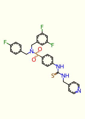 O=S(=O)(c1ccc(NC(=S)NCc2ccncc2)cc1)N(Cc1ccc(F)cc1)Cc1cc(F)cc(F)c1